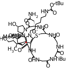 CC[C@H](C)[C@@H]1NC(=O)CNC(=O)C2Cc3c(n(CCCCCCNC(=O)OC(C)(C)C)c4cc(OC)ccc34)[S@+]([O-])CC(NC(=O)CNC1=O)C(=O)N[C@@H](CC(N)=O)C(=O)N1C[C@H](O)C[C@]1(C=O)N[C@@H]([C@@H](C)[C@@H](O)CO)C(=O)N2